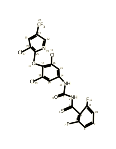 O=C(NC(=S)c1c(F)cccc1F)Nc1cc(Cl)c(Oc2ncc(C(F)(F)F)cc2Cl)c(Cl)c1